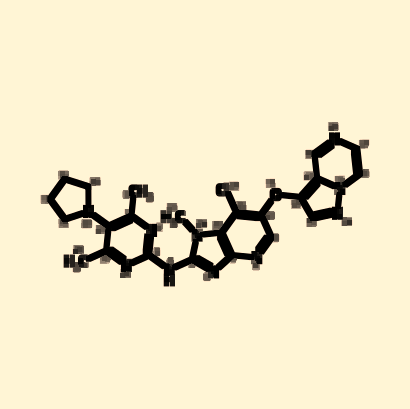 Cc1nc(Nc2nc3ncc(Oc4cnn5ccncc45)c(Cl)c3n2C)nc(C)c1N1CCCC1